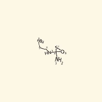 CCCCCCNC1(N)OS1